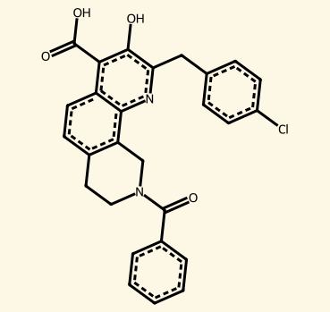 O=C(O)c1c(O)c(Cc2ccc(Cl)cc2)nc2c3c(ccc12)CCN(C(=O)c1ccccc1)C3